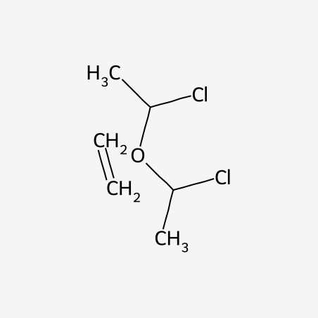 C=C.CC(Cl)OC(C)Cl